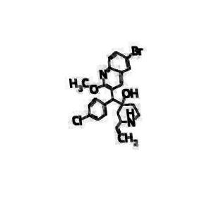 C=CC1CC(O)(C(c2ccc(Cl)cc2)c2cc3cc(Br)ccc3nc2OC)CCN1